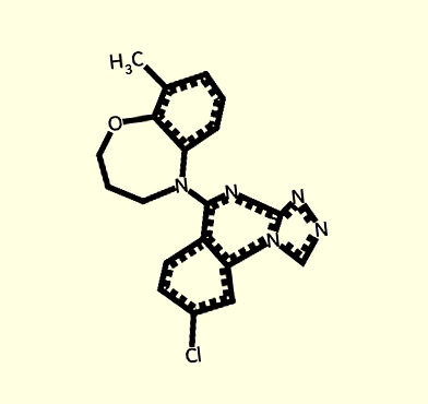 Cc1cccc2c1OCCCN2c1nc2nncn2c2cc(Cl)ccc12